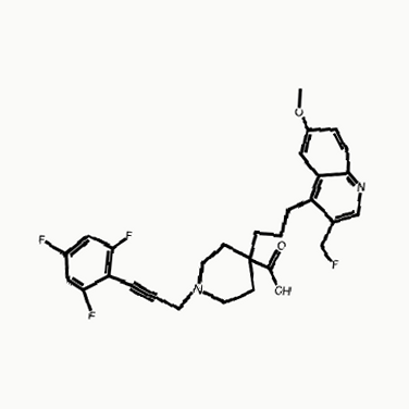 COc1ccc2ncc(CF)c(CCCC3(C(=O)O)CCN(CC#Cc4c(F)cc(F)cc4F)CC3)c2c1